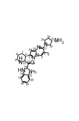 Cc1cn2nc([C@@H]3CCCNC3C(=O)C3Nc4ccccc4N3C)cc2nc1N1CC[C@H](N)C1